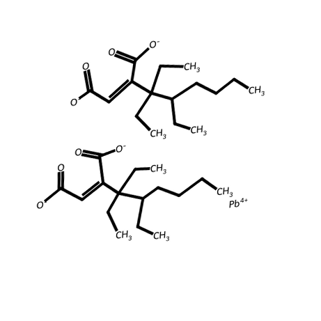 CCCCC(CC)C(CC)(CC)/C(=C/C(=O)[O-])C(=O)[O-].CCCCC(CC)C(CC)(CC)/C(=C/C(=O)[O-])C(=O)[O-].[Pb+4]